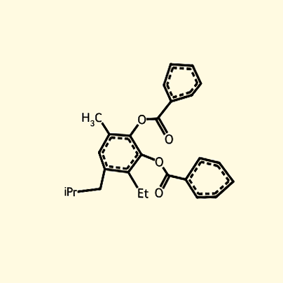 CCc1c(CC(C)C)cc(C)c(OC(=O)c2ccccc2)c1OC(=O)c1ccccc1